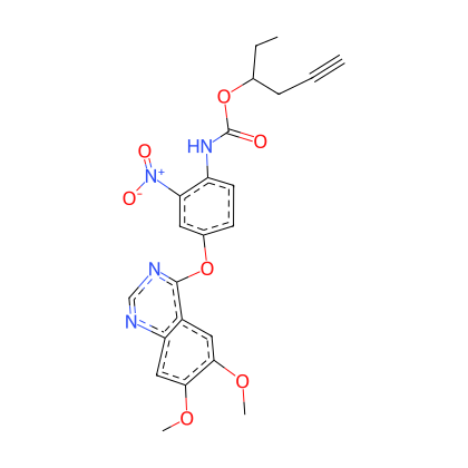 C#CCC(CC)OC(=O)Nc1ccc(Oc2ncnc3cc(OC)c(OC)cc23)cc1[N+](=O)[O-]